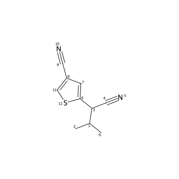 CC(C)C(C#N)c1cc(C#N)cs1